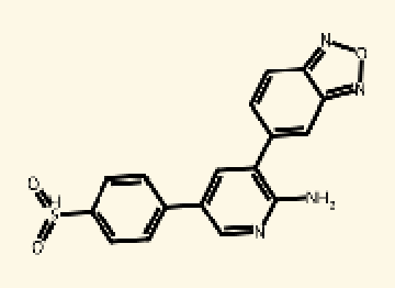 Nc1ncc(-c2ccc([SH](=O)=O)cc2)cc1-c1ccc2nonc2c1